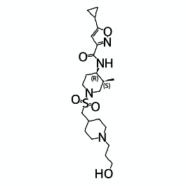 C[C@H]1CN(S(=O)(=O)CC2CCN(CCCO)CC2)CC[C@H]1NC(=O)c1cc(C2CC2)on1